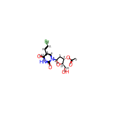 CC(=O)O[C@H]1C[C@H](n2cc(C=CBr)c(=O)[nH]c2=O)O[C@@H]1CO